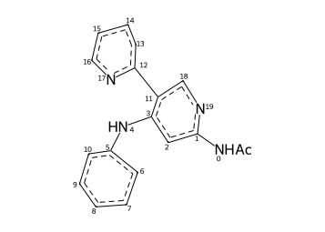 CC(=O)Nc1cc(Nc2ccccc2)c(-c2ccccn2)cn1